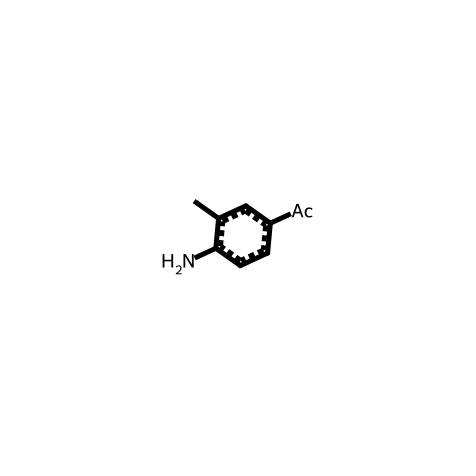 [CH2]C(=O)c1ccc(N)c(C)c1